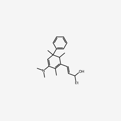 CCC(O)C=CC1=C(C)C(N(C)C)=CC(C)(c2ccccc2)C1C